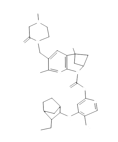 CN1CCN(Cc2cc3c(nc2C=O)N(C(=O)Nc2cc(NC4C5CCC(C5)C4CO)c(C#N)cn2)C2CC3(F)C2)C(=O)C1